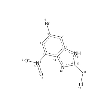 O=[N+]([O-])c1cc(Br)cc2[nH]c(CCl)nc12